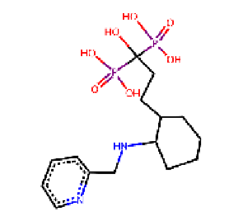 O=P(O)(O)C(O)(CCC1CCCCC1NCc1ccccn1)P(=O)(O)O